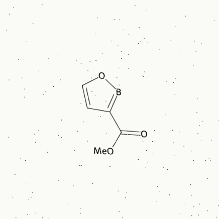 COC(=O)c1bocc1